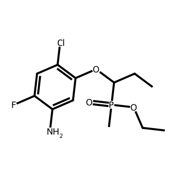 CCOP(C)(=O)C(CC)Oc1cc(N)c(F)cc1Cl